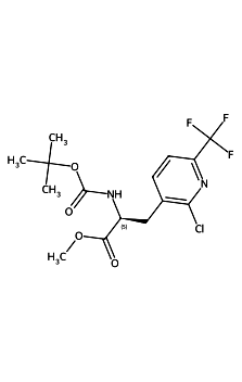 COC(=O)[C@H](Cc1ccc(C(F)(F)F)nc1Cl)NC(=O)OC(C)(C)C